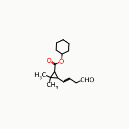 CC1(C)C(C=CCC=O)C1C(=O)OC1CCCCC1